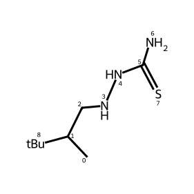 CC(CNNC(N)=S)C(C)(C)C